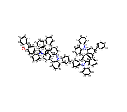 c1ccc(-c2cc(-c3ccccc3)cc(-n3c4ccccc4c4cccc(-c5cccc6c5c5cc(-c7ccc8c(c7)c7cccc(-c9ccc%10c(c9)c9ccccc9n%10-c9ccccc9)c7n8-c7ccc(-c8ccccc8)c(-c8ccc(-c9ccc%10oc%11ccccc%11c%10c9)cc8)c7)ccc5n6-c5ccccc5)c43)c2)cc1